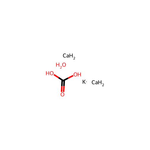 O.O=C(O)O.[CaH2].[CaH2].[K]